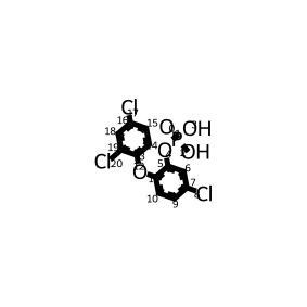 O=P(O)(O)Oc1cc(Cl)ccc1Oc1ccc(Cl)cc1Cl